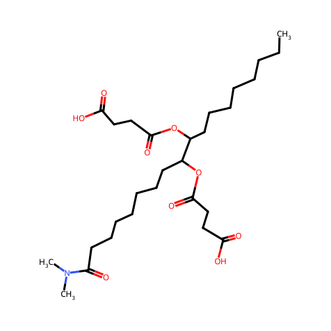 CCCCCCCCC(OC(=O)CCC(=O)O)C(CCCCCCCC(=O)N(C)C)OC(=O)CCC(=O)O